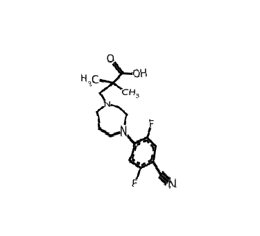 CC(C)(CN1CCCN(c2cc(F)c(C#N)cc2F)CC1)C(=O)O